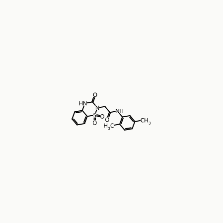 Cc1ccc(C)c(NC(=O)CN2C(=O)Nc3ccccc3S2(=O)=O)c1